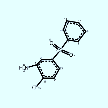 Nc1cc(S(=O)(=O)c2ccccc2)ccc1Cl